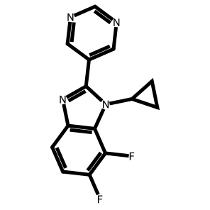 Fc1ccc2nc(-c3cncnc3)n(C3CC3)c2c1F